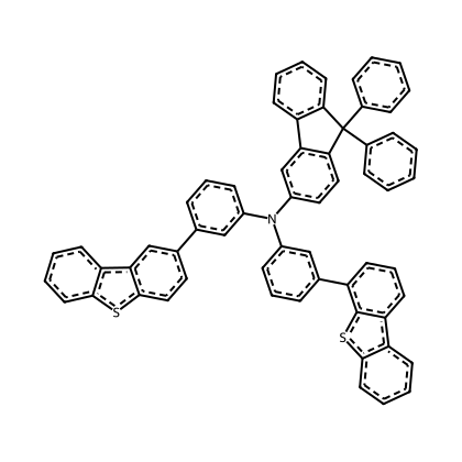 c1ccc(C2(c3ccccc3)c3ccccc3-c3cc(N(c4cccc(-c5ccc6sc7ccccc7c6c5)c4)c4cccc(-c5cccc6c5sc5ccccc56)c4)ccc32)cc1